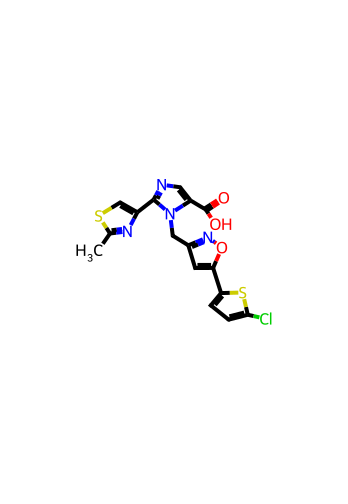 Cc1nc(-c2ncc(C(=O)O)n2Cc2cc(-c3ccc(Cl)s3)on2)cs1